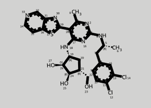 Cc1nc(N[C@H](C)Cc2ccc(Cl)c(Cl)c2)nc(N[C@@H]2C[C@H](CO)[C@@H](O)[C@H]2O)c1-c1nc2cnccc2s1